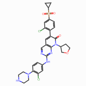 O=c1c(-c2ccc(S(=O)(=O)C3CC3)cc2Cl)cc2cnc(Nc3ccc(N4CCNCC4)c(Cl)c3)nc2n1C1CCOC1